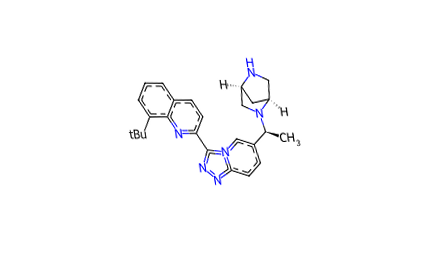 C[C@@H](c1ccc2nnc(-c3ccc4cccc(C(C)(C)C)c4n3)n2c1)N1C[C@@H]2C[C@H]1CN2